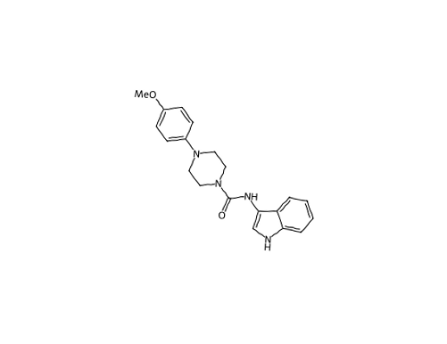 COc1ccc(N2CCN(C(=O)Nc3c[nH]c4ccccc34)CC2)cc1